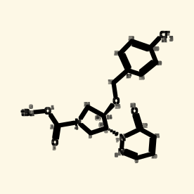 CC(C)(C)OC(=O)N1C[C@@H](n2ncccc2=O)[C@H](OCc2ccc(C(F)(F)F)cc2)C1